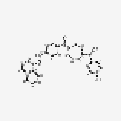 O=C(c1ccc(Cl)cc1)N1CCCN(C(=O)c2ccc(NSc3cccc4cccnc34)cc2)CC1